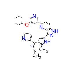 C=C/C=C(/c1cccnc1)c1cc(-c2n[nH]c3ccc(-c4cncc(OC5CCCCC5)c4)nc23)[nH]c1C